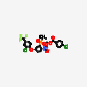 CCP(=O)(OCOC(=O)c1ccc(Cl)cc1)c1cc(Oc2ccc(C(F)(F)F)cc2Cl)ccc1[N+](=O)[O-]